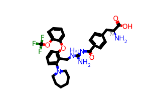 N/C(=N\C(=O)c1ccc(C[C@H](N)C(=O)O)cc1)NCc1c(Oc2ccccc2OC(F)(F)F)cccc1N1CCCCCC1